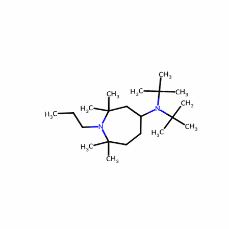 CCCN1C(C)(C)CCC(N(C(C)(C)C)C(C)(C)C)CC1(C)C